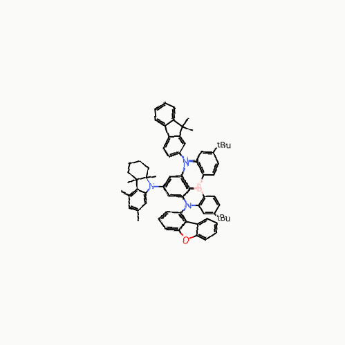 Cc1cc(C)c2c(c1)N(c1cc3c4c(c1)N(c1cccc5oc6ccccc6c15)c1cc(C(C)(C)C)ccc1B4c1ccc(C(C)(C)C)cc1N3c1ccc3c(c1)C(C)(C)c1ccccc1-3)C1(C)CCCCC21C